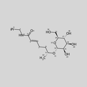 CC(C)CNC(=O)/C=C/CC[C@@H](C)O[C@@H]1O[C@@H](CO)[C@H](O)[C@@H](O)[C@H]1O